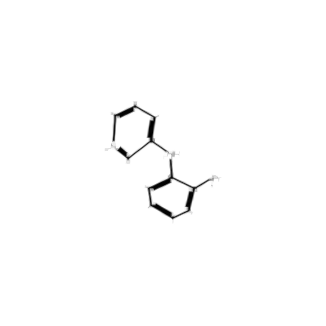 CC(C)c1ccccc1Nc1cccnc1